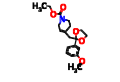 CCOC(=O)N1CC=C(CC2(c3cccc(OC)c3)OCCO2)CC1